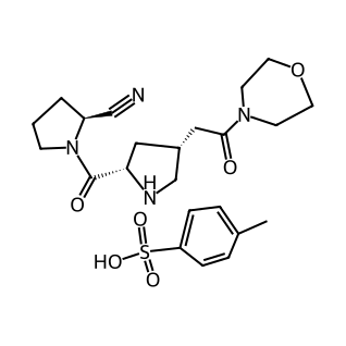 Cc1ccc(S(=O)(=O)O)cc1.N#C[C@@H]1CCCN1C(=O)[C@@H]1C[C@H](CC(=O)N2CCOCC2)CN1